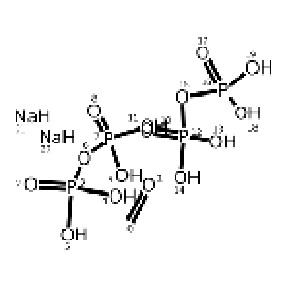 C=O.O=P(O)(O)OP(=O)(O)O.O=P(O)(O)OP(=O)(O)O.[NaH].[NaH]